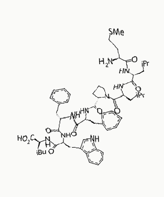 CC[C@H](C)[C@H](NC(=O)[C@H](Cc1c[nH]c2ccccc12)NC(=O)[C@H](Cc1ccccc1)NC(=O)[C@H](Cc1ccccc1)NC(=O)[C@@H]1CCCN1C(=O)[C@H](CC(C)C)NC(=O)[C@H](CC(C)C)NC(=O)[C@@H](N)CCSC)C(=O)O